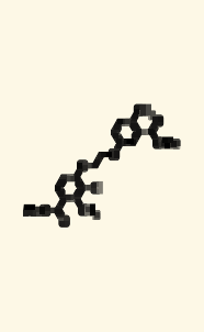 COC(=O)c1cc(OCCOc2ccc(C(=O)OC)c(C)c2Cl)ccc1C